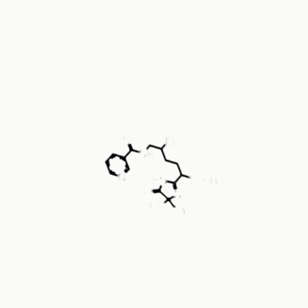 CCC(CCC(C(=O)O)C1=NC(C)(C(C)C)C(=O)N1)CNC(=O)c1cccnc1